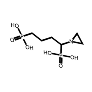 O=P(O)(O)CCCC(N1CC1)P(=O)(O)O